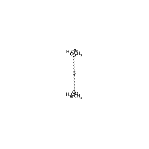 CC(C)(Br)C(=O)OCCCCCCCCCCCSSCCCCCCCCCCCOC(=O)C(C)(C)Br